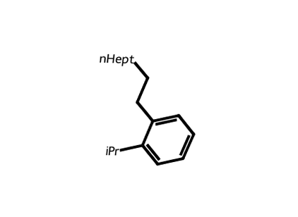 CCCCCCCCCc1ccccc1C(C)C